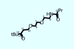 CC(C)C(=O)NCCOCCOCCC(=O)C(C)(C)C